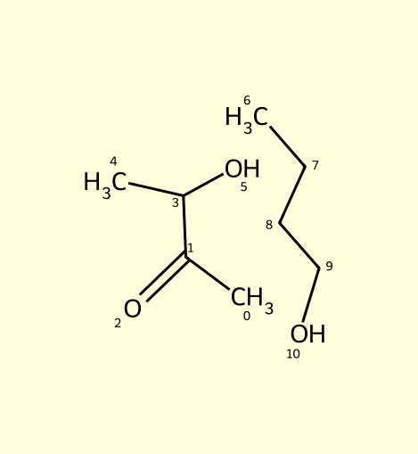 CC(=O)C(C)O.CCCCO